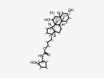 CC[C@H]1[C@@H](O)[C@@H]2[C@H](CC[C@]3(C)[C@@H](CCCOC(=O)N[C@H]4CCC[C@H]4O)CC[C@@H]23)[C@@]2(C)CC[C@@H](O)C[C@@H]12